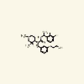 CC(NC(=O)N(Cc1cccc(OCCO)c1)C1CCN(C)CC1(C)C)c1cccc(Cl)c1Cl